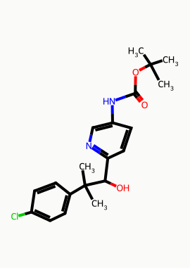 CC(C)(C)OC(=O)Nc1ccc(C(O)C(C)(C)c2ccc(Cl)cc2)nc1